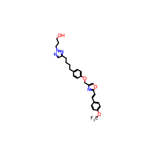 OCCCn1ncc(CCCCc2ccc(OCc3coc(C=Cc4ccc(OC(F)(F)F)cc4)n3)cc2)n1